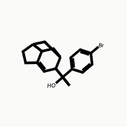 CC(O)(c1ccc(Br)cc1)C1C=C2CCC3CC1CC23